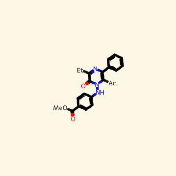 CCc1nc(-c2ccccc2)c(C(C)=O)n(Nc2ccc(C(=O)OC)cc2)c1=O